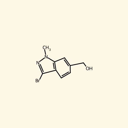 Cn1nc(Br)c2ccc(CO)cc21